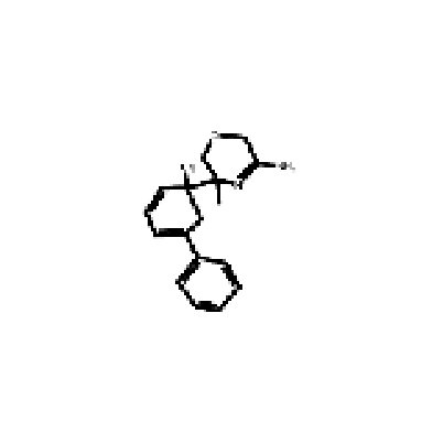 CC1(C2(C#N)C=CC=C(c3ccccc3)C2)COCC(N)=N1